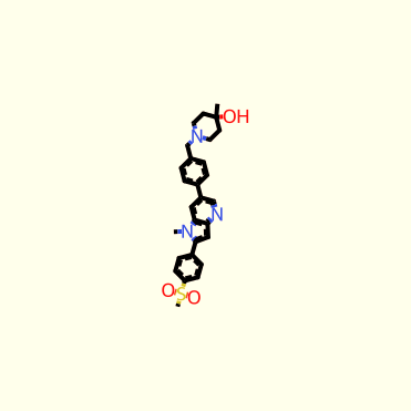 Cn1c(-c2ccc(S(C)(=O)=O)cc2)cc2ncc(-c3ccc(CN4CCC(C)(O)CC4)cc3)cc21